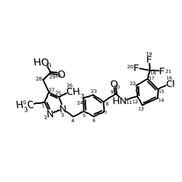 Cc1nn(Cc2ccc(C(=O)Nc3ccc(Cl)c(C(F)(F)F)c3)cc2)c(C)c1CC(=O)O